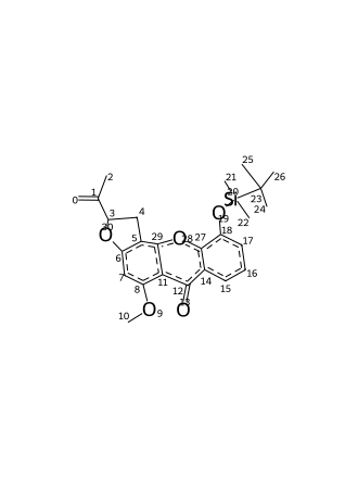 C=C(C)C1Cc2c(cc(OC)c3c(=O)c4cccc(O[Si](C)(C)C(C)(C)C)c4oc23)O1